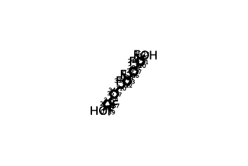 Oc1ccc(C2CCC(CCc3ccc(C4CCC(c5ccc(O)c(F)c5F)CC4)c(F)c3F)CC2)c(F)c1F